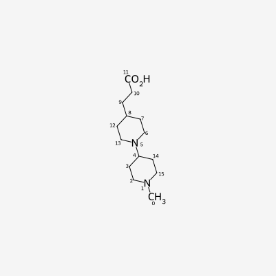 CN1CCC(N2CCC(CCC(=O)O)CC2)CC1